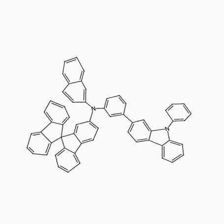 c1ccc(-n2c3ccccc3c3ccc(-c4cccc(N(c5ccc6c(c5)C5(c7ccccc7-c7ccccc75)c5ccccc5-6)c5ccc6ccccc6c5)c4)cc32)cc1